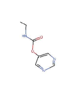 CCNC(=O)Oc1cncnc1